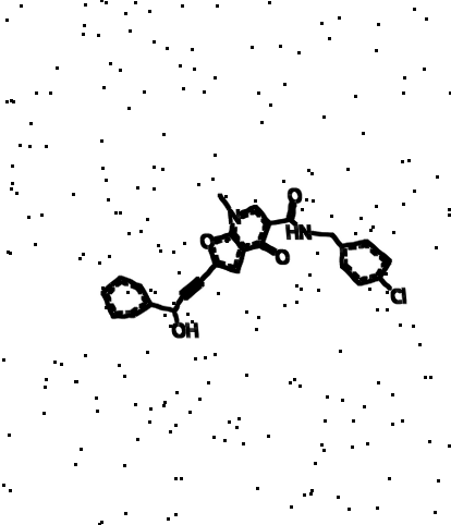 Cn1cc(C(=O)NCc2ccc(Cl)cc2)c(=O)c2cc(C#CC(O)c3ccccc3)oc21